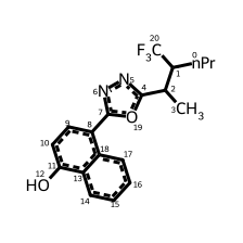 CCC[C](C(C)c1nnc(-c2ccc(O)c3ccccc23)o1)C(F)(F)F